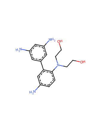 Nc1cc(N)cc(-c2cc(N)ccc2N(CCO)CCO)c1